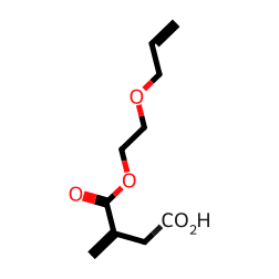 C=CCOCCOC(=O)C(=C)CC(=O)O